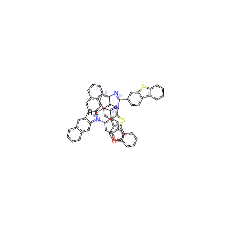 CC1C/C=C(c2ccc3c(c2)sc2ccccc23)/N=C(c2ccc3c(c2)sc2ccccc23)\N=C/1c1cc2c(cc1-n1c3cc4ccccc4cc3c3cc4ccccc4cc31)oc1ccccc12